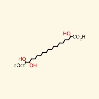 CCCCCCCCC(O)C(O)CCCCCCCCCCCCCCC(O)C(=O)O